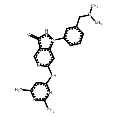 Cc1cc(Nc2cc3c(cn2)c(=O)[nH]n3-c2cccc(CN(C)C)c2)nc(C)n1